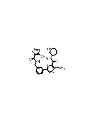 Cc1nnsc1C(=O)NCc1cccc(-c2cnc([AsH2])c(C(=O)N[C@H]3CCCNC3)n2)c1